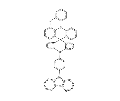 c1ccc2c(c1)Sc1cccc3c1B2c1ccccc1C31c2ccccc2B(c2ccc(-n3c4cccnc4c4ncccc43)cc2)c2ccccc21